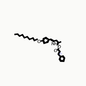 CCCCCCCCCCOc1ccc(C=C(N)CC(C)COC(=O)/C=C/c2ccccc2)cc1